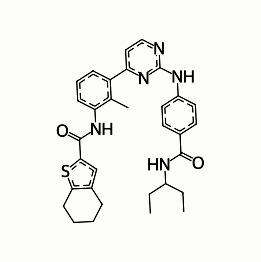 CCC(CC)NC(=O)c1ccc(Nc2nccc(-c3cccc(NC(=O)c4cc5c(s4)CCCC5)c3C)n2)cc1